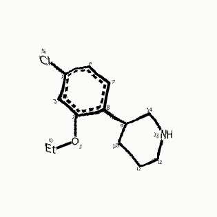 CCOc1cc(Cl)ccc1C1CCCNC1